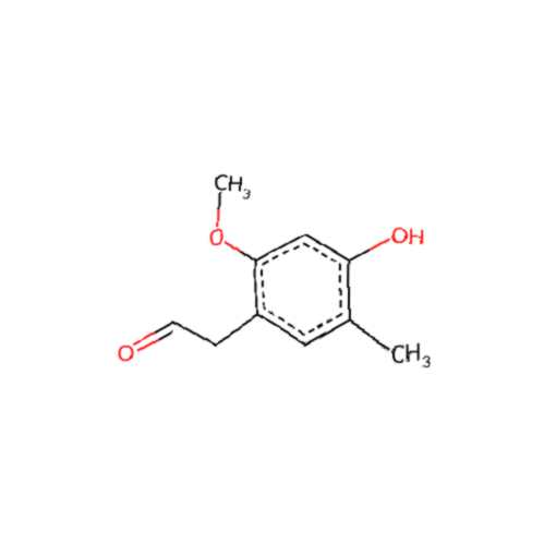 COc1cc(O)c(C)cc1CC=O